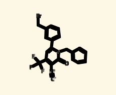 [C-]#[N+]c1c(C(F)(F)F)cc(-c2cccc(CBr)c2)n(Cc2ccccc2)c1=O